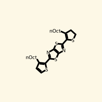 CCCCCCCCC1=C(c2nc3sc(-c4sccc4CCCCCCCC)nc3s2)SCC1